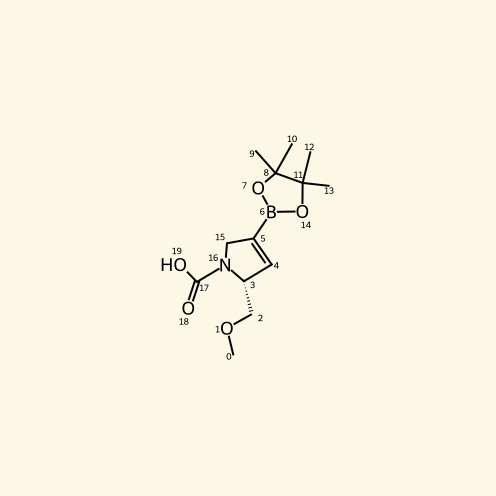 COC[C@H]1C=C(B2OC(C)(C)C(C)(C)O2)CN1C(=O)O